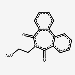 CC(=O)OCCn1c(=O)c2ccccc2c2ccccc2c1=O